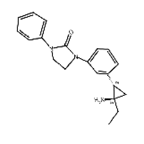 CC[C@@]1(N)C[C@H]1c1cccc(N2CCN(c3ccccc3)C2=O)c1